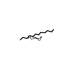 CCCCCCCCCCCC.CO[SiH3]